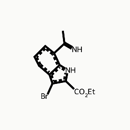 CCOC(=O)c1[nH]c2c(C(C)=N)cccc2c1Br